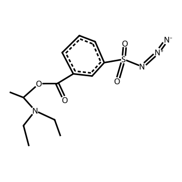 CCN(CC)C(C)OC(=O)c1cccc(S(=O)(=O)N=[N+]=[N-])c1